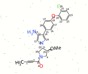 CC#CC(=O)N1C[C@H](OC)[C@@H](n2cc(N)c(-c3ccc(Oc4ccccc4F)cc3)c2)C1